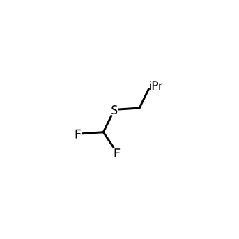 CC(C)CSC(F)F